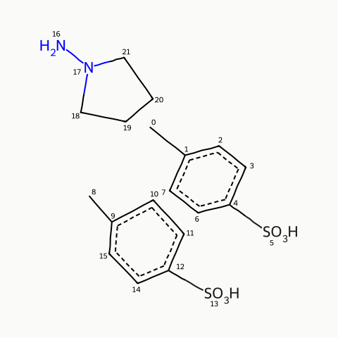 Cc1ccc(S(=O)(=O)O)cc1.Cc1ccc(S(=O)(=O)O)cc1.NN1CCCC1